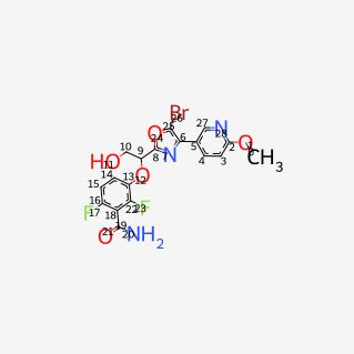 COc1ccc(-c2nc(C(CO)Oc3ccc(F)c(C(N)=O)c3F)oc2Br)cn1